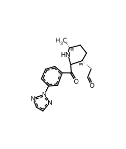 C[C@@H]1CC[C@H](CC=O)C(C(=O)c2cccc(-n3nccn3)c2)N1